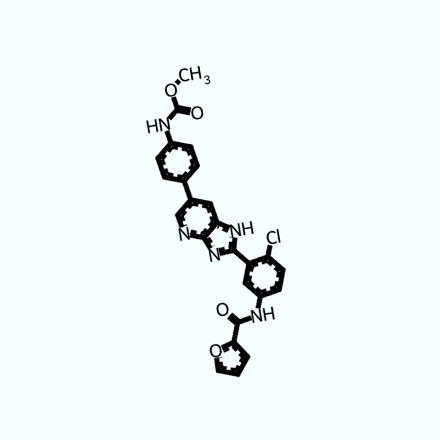 COC(=O)Nc1ccc(-c2cnc3nc(-c4cc(NC(=O)c5ccco5)ccc4Cl)[nH]c3c2)cc1